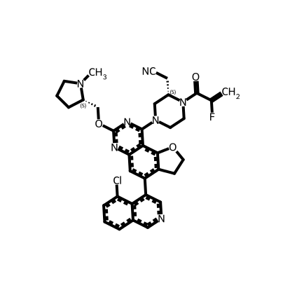 C=C(F)C(=O)N1CCN(c2nc(OC[C@@H]3CCCN3C)nc3cc(-c4cncc5cccc(Cl)c45)c4c(c23)OCC4)C[C@@H]1CC#N